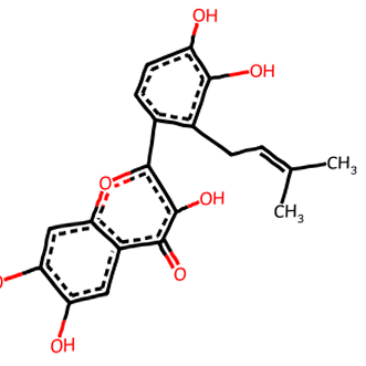 CC(C)=CCc1c(-c2oc3cc(O)c(O)cc3c(=O)c2O)ccc(O)c1O